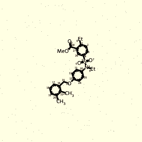 CCc1ccc(S(=O)(=O)N(CC)c2ccc(OCc3cccc(C)c3C)cc2)cc1C(=O)OC